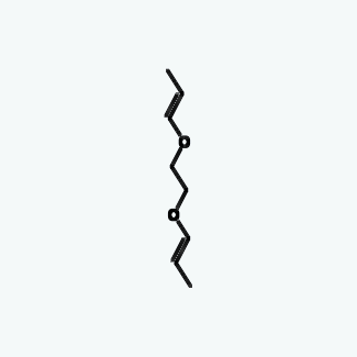 CC=COCCOC=CC